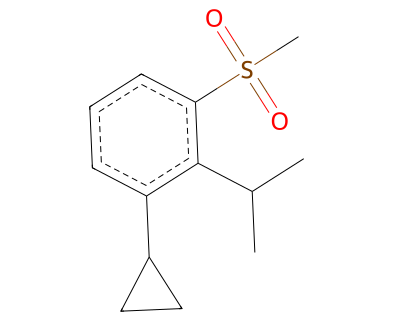 CC(C)c1c(C2CC2)cccc1S(C)(=O)=O